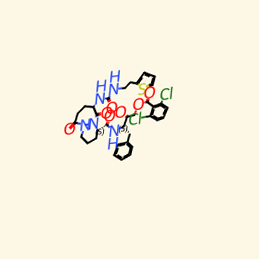 O=C(NCCc1cccs1)NC1CCC(=O)N2CCC[C@@H](C(=O)N[C@@H](Cc3ccccc3)C(=O)COC(=O)c3c(Cl)cccc3Cl)N2C1=O